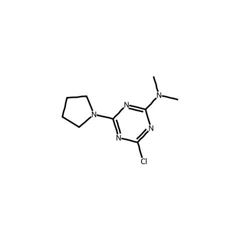 CN(C)c1nc(Cl)nc(N2CCCC2)n1